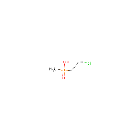 CP(=O)(O)CCCl